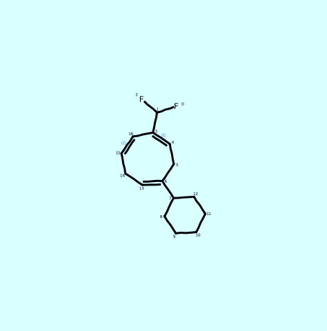 FC(F)C1=C/CC(C2CCCCC2)=CC/C=C\1